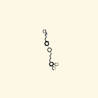 Cl/C=C/CCc1ccc([C@H]2CC[C@H](CCCCc3ccc(Cl)c(Cl)c3)CC2)cc1